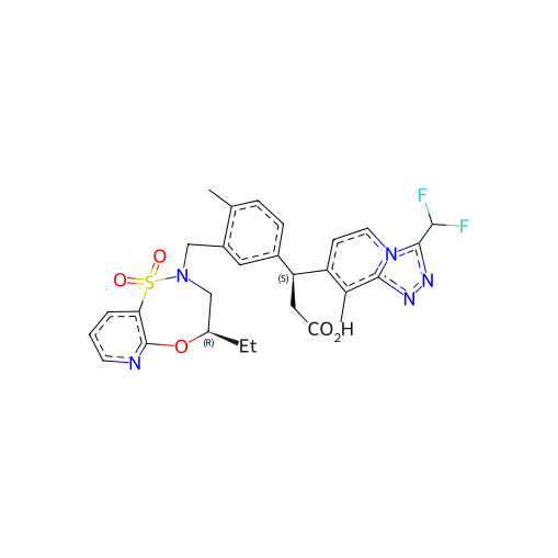 CC[C@@H]1CN(Cc2cc([C@H](CC(=O)O)c3ccn4c(C(F)F)nnc4c3C)ccc2C)S(=O)(=O)c2cccnc2O1